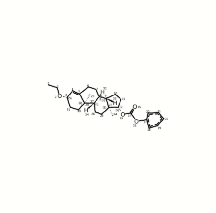 CCO[C@@H]1C=C2CC[C@H]3[C@@H]4CC[C@H](OC(=O)Oc5ccccc5)[C@@]4(C)CC[C@@H]3[C@@]2(C)CC1